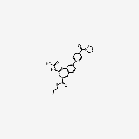 CCCNC(=O)C1=Cc2ccc(-c3ccc(C(=O)N4CCCC4)cc3)cc2N=C(NC(=O)O)C1